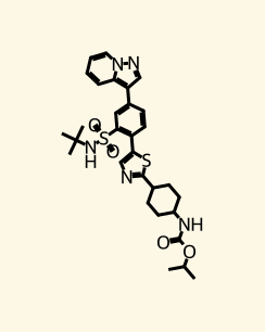 CC(C)OC(=O)NC1CCC(c2ncc(-c3ccc(-c4cnn5ccccc45)cc3S(=O)(=O)NC(C)(C)C)s2)CC1